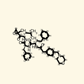 CC(C)C[C@H](NC(=O)[C@H](Cc1ccncc1)NC(=O)[C@H](CCc1ccccc1)NC(=O)Cc1ccc(CN2CCOCC2)cc1)C(=O)C1(C)CO1